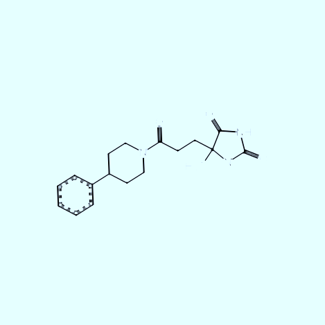 CC1(CCC(=O)N2CCC(c3ccccc3)CC2)NC(=O)NC1=O